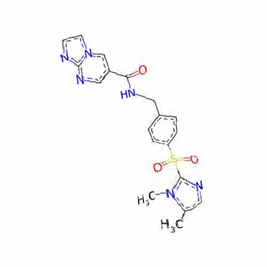 Cc1cnc(S(=O)(=O)c2ccc(CNC(=O)c3cnc4nccn4c3)cc2)n1C